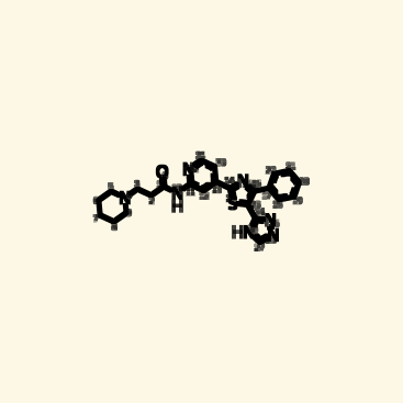 O=C(CCN1CCCCC1)Nc1cc(-c2nc(-c3ccccc3)c(-c3nnc[nH]3)s2)ccn1